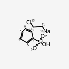 O=S(=O)(O)c1ccccc1.[Na][CH2]CCl